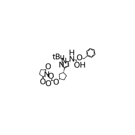 CC(C)(C)n1nc([C@H]2CC[C@@H](OC(=O)ON3C(=O)CCC3=O)C2)cc1NC(O)OCc1ccccc1